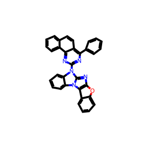 c1ccc(-c2nc(-n3c4ccccc4n4c5c(nc34)oc3ccccc35)nc3c2ccc2ccccc23)cc1